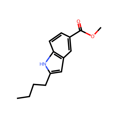 CCCCc1cc2cc(C(=O)OC)ccc2[nH]1